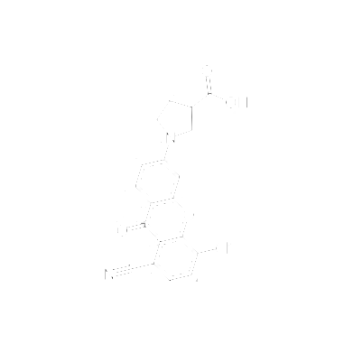 N#Cc1ccc(Cl)c2oc3cc(N4CCC(C(=O)O)C4)ccc3c(=O)c12